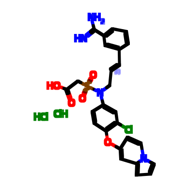 Cl.Cl.N=C(N)c1cccc(/C=C/CN(c2ccc(Oc3ccn4cccc4c3)c(Cl)c2)S(=O)(=O)CC(=O)O)c1